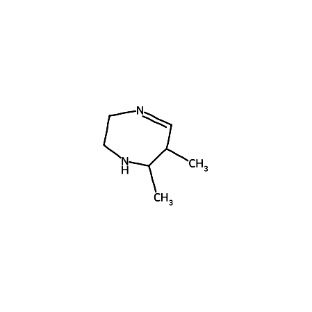 CC1C=NCCNC1C